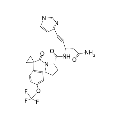 NC(=O)C[C@@H](C#Cc1ccncn1)NC(=O)[C@@H]1CCCN1C(=O)C1(c2ccc(OC(F)(F)F)cc2)CC1